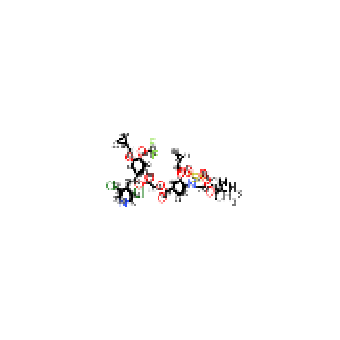 CC(C)(C)OC(=O)CN(c1ccc(C(=O)OCC(=O)O[C@@H](Cc2c(Cl)cncc2Cl)c2ccc(OC(F)F)c(OCC3CC3)c2)cc1OCC1CC1)[SH](=O)=O